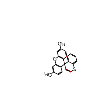 Oc1ccc2c(c1)Oc1cc(O)ccc1C21c2ccccc2Sc2ccccc21